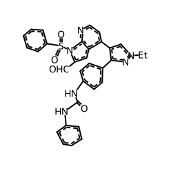 CCn1cc(-c2ccnc3c2cc(C=O)n3S(=O)(=O)c2ccccc2)c(-c2ccc(NC(=O)Nc3ccccc3)cc2)n1